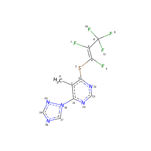 Cc1c(S/C(F)=C(\F)C(F)(F)F)ncnc1-n1cncn1